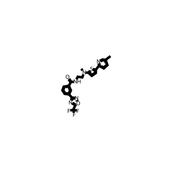 Cc1ccc(-c2ccc(N(C)CCNC(=O)c3cccc(-c4noc(C(F)(F)F)n4)c3)s2)nc1